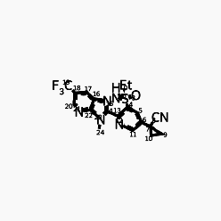 CC[S@](=N)(=O)c1cc(C2(C#N)CC2)cnc1-c1nc2cc(C(F)(F)F)cnc2n1C